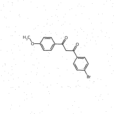 COc1ccc(C(=O)CC(=O)c2ccc(Br)cc2)cc1